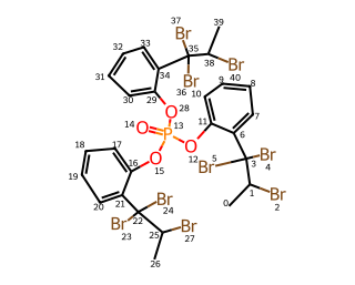 CC(Br)C(Br)(Br)c1ccccc1OP(=O)(Oc1ccccc1C(Br)(Br)C(C)Br)Oc1ccccc1C(Br)(Br)C(C)Br